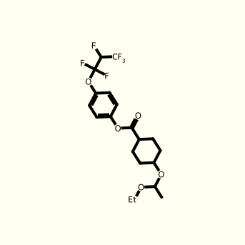 CCOC(C)OC1CCC(C(=O)Oc2ccc(OC(F)(F)C(F)C(F)(F)F)cc2)CC1